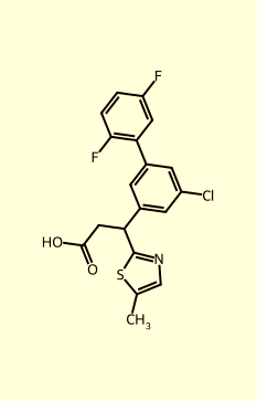 Cc1cnc(C(CC(=O)O)c2cc(Cl)cc(-c3cc(F)ccc3F)c2)s1